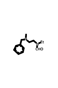 CCN(C=O)CCN(C)Cc1ccccc1